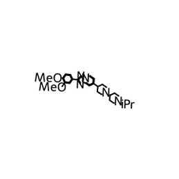 COc1ccc(-c2nc3cc(C4CCN(C5CCN(C(C)C)CC5)CC4)ccn3n2)cc1OC